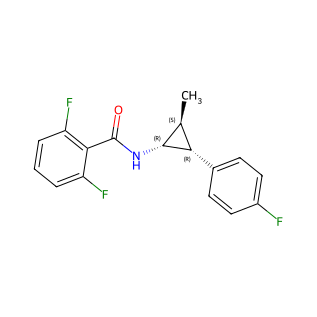 C[C@@H]1[C@@H](NC(=O)c2c(F)cccc2F)[C@H]1c1ccc(F)cc1